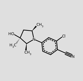 C[C@@H]1C[C@](C)(O)[C@H](C)N1c1ccc(C#N)c(Cl)c1